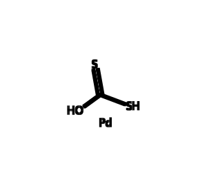 OC(=S)S.[Pd]